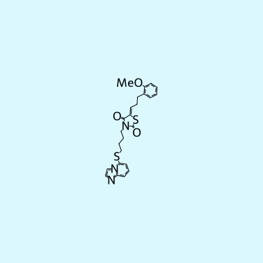 COc1ccccc1CCC=C1SC(=O)N(CCCCSc2cccc3nccn23)C1=O